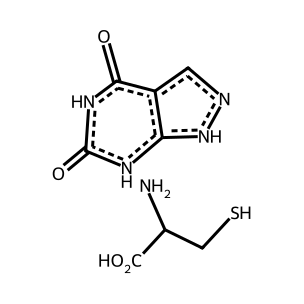 NC(CS)C(=O)O.O=c1[nH]c(=O)c2cn[nH]c2[nH]1